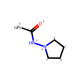 CCCC(=O)NN1CCCC1